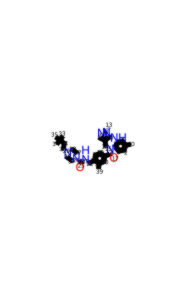 Cc1ccc2c(c1)Nc1c(cnn1C)CN2C(=O)c1ccc(CNC(=O)N2CCN(CCC(C)(C)C)CC2)c(C)c1